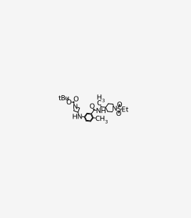 CCS(=O)(=O)N1CCC(C(C)NC(=O)c2cc(NC3CN(C(=O)OC(C)(C)C)C3)ccc2C)CC1